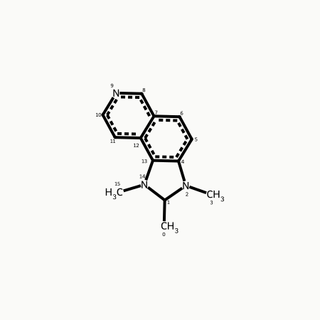 CC1N(C)c2ccc3cnccc3c2N1C